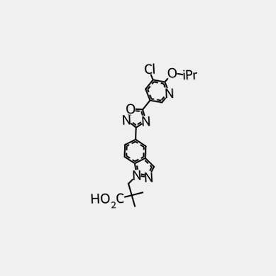 CC(C)Oc1ncc(-c2nc(-c3ccc4c(cnn4CC(C)(C)C(=O)O)c3)no2)cc1Cl